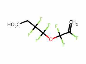 C=C(F)C(F)(F)OC(F)(F)C(F)(F)CC(=O)O